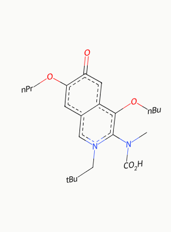 CCCCOc1c2cc(=O)c(OCCC)cc-2cn(CC(C)(C)C)c1N(C)C(=O)O